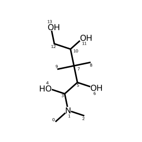 CN(C)C(O)C(O)C(C)(C)C(O)CO